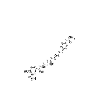 Br.NC(=O)Cc1ccc(CCCOCCCCCCNCC(O)c2ccc(O)c(CO)c2)cc1